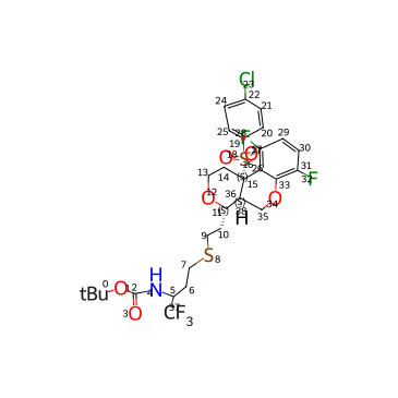 CC(C)(C)OC(=O)NC(CCSCC[C@@H]1OCC[C@@]2(S(=O)(=O)c3ccc(Cl)cc3)c3c(F)ccc(F)c3OC[C@@H]12)C(F)(F)F